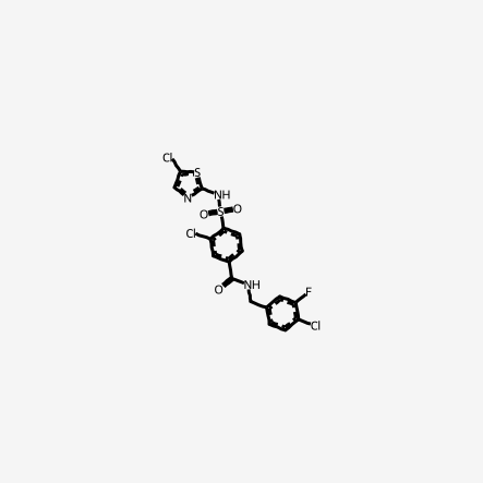 O=C(NCc1ccc(Cl)c(F)c1)c1ccc(S(=O)(=O)Nc2ncc(Cl)s2)c(Cl)c1